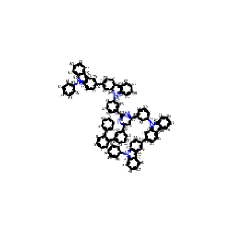 c1ccc(-c2ccccc2-c2cccc(-c3cc(-c4cccc(-n5c6ccccc6c6ccc(-c7ccc8c(c7)c7ccccc7n8-c7ccccc7)cc65)c4)nc(-c4cccc(-n5c6ccccc6c6ccc(-c7ccc8c(c7)c7ccccc7n8-c7ccccc7)cc65)c4)n3)c2)cc1